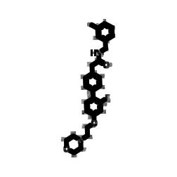 Cc1cccc(CNC(=O)Cc2ccc(-c3ccc(OCCN4CCOCC4)cc3F)cc2)c1